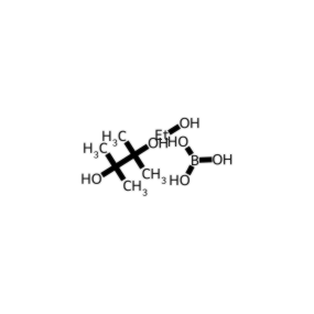 CC(C)(O)C(C)(C)O.CCO.OB(O)O